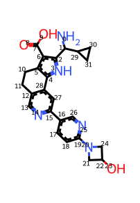 NC(c1[nH]c2c(c1C(=O)O)CCc1cnc(-c3ccc(N4CC(O)C4)nc3)cc1-2)C1CC1